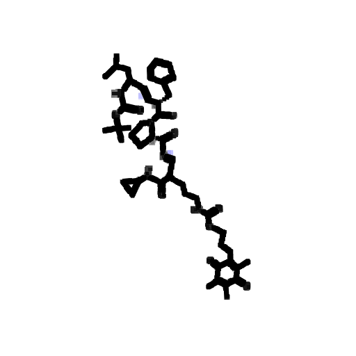 CC1=C(C)C(=O)C(CCCOC(=O)NCCCC(/C=N/C(=O)[C@@H]2CCCN2C(=O)[C@H](/C=C/C(CC(C)C)NC(=O)OC(C)(C)C)Cc2ccccc2)C(=O)NC2CC2)=C(C)C1=O